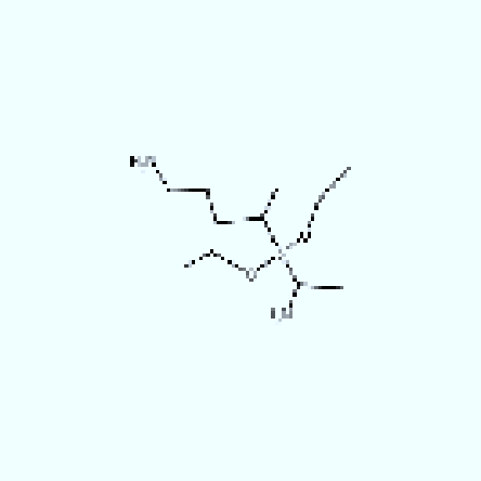 CCO[Si](OCC)(C(C)N)C(C)CCCN